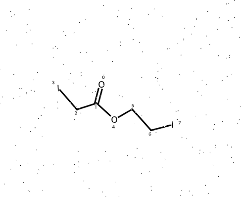 O=C(CI)OCCI